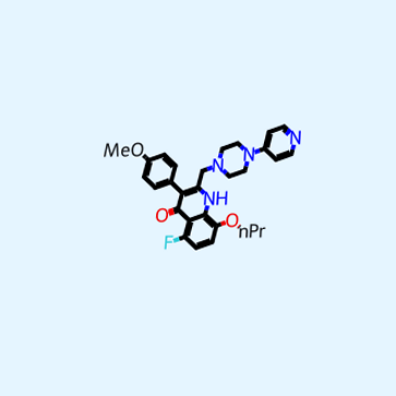 CCCOc1ccc(F)c2c(=O)c(-c3ccc(OC)cc3)c(CN3CCN(c4ccncc4)CC3)[nH]c12